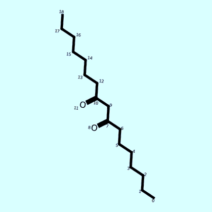 CCCCCCCC(=O)[C]C(=O)CCCCCCC